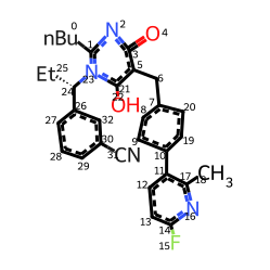 CCCCc1nc(=O)c(Cc2ccc(-c3ccc(F)nc3C)cc2)c(O)n1[C@@H](CC)c1cccc(C#N)c1